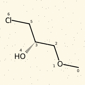 COC[C@H](O)CCl